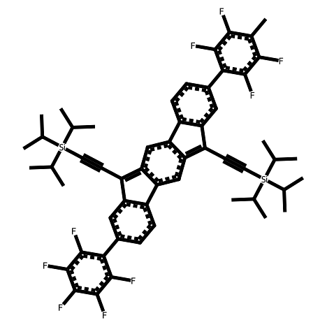 Cc1c(F)c(F)c(-c2ccc3c(c2)C(C#C[Si](C(C)C)(C(C)C)C(C)C)=c2cc4c(cc2-3)=C(C#C[Si](C(C)C)(C(C)C)C(C)C)c2cc(-c3c(F)c(F)c(F)c(F)c3F)ccc2-4)c(F)c1F